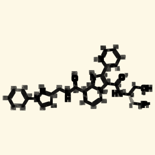 CC(C)C[C@@H](CO)NC(=O)c1c(-c2ccccn2)nc2c(C(=O)NCc3ccn(-c4ccccc4)n3)cccn12